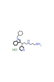 Cl.NCCCNCCC(c1cccnc1)c1cn(CC2CCCCC2)c2ccccc12